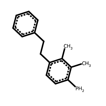 Cc1c(P)ccc(CCc2ccccc2)c1C